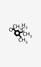 CCc1ccc(C(C)=O)cc1C(C)C